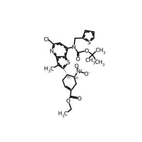 CCOC(=O)C1=CC[C@H](c2sc3c(N(Cc4cccs4)C(=O)OC(C)(C)C)cc(Cl)nc3c2C)[C@@H]([N+](=O)[O-])C1